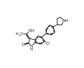 C/C(O)=C1\C(=O)Nc2cc(Cl)c(-c3ccc(C4CCNC4)cc3)cc21